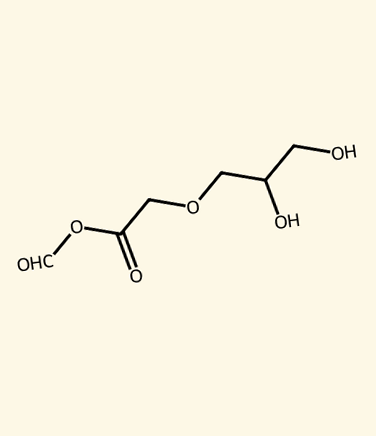 O=COC(=O)COCC(O)CO